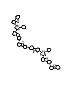 c1ccc(-c2nc(-c3ccc4c(c3)sc3cc(-c5ccc6c(c5)oc5c(-c7ccc8sc9c(-c%10nc(-c%11ccccc%11)nc(-c%11cccc%12c%11sc%11ccccc%11%12)n%10)cccc9c8c7)cccc56)ccc34)nc(-c3cccc4c3sc3ccc(-c5cccc6c5oc5ccccc56)cc34)n2)cc1